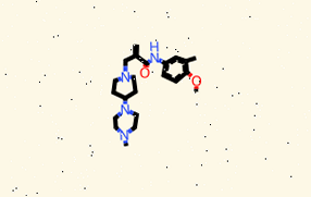 C=C(CN1CCC(N2CCN(C)CC2)CC1)C(=O)Nc1ccc(OC)c(C)c1